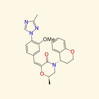 COc1cc(C=C2O[C@H](C)CN([C@H]3CCOc4ccccc43)C2=O)ccc1-n1cnc(C)n1